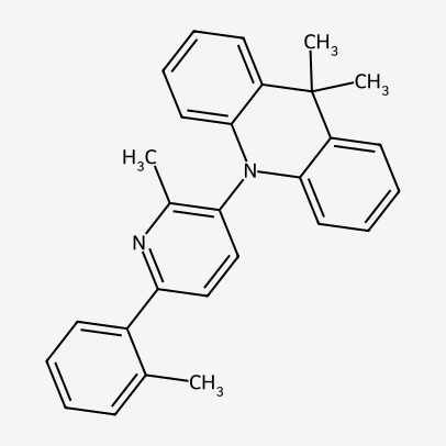 Cc1ccccc1-c1ccc(N2c3ccccc3C(C)(C)c3ccccc32)c(C)n1